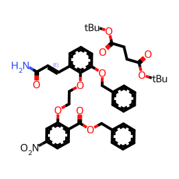 CC(C)(C)OC(=O)CCC(=O)OC(C)(C)C.NC(=O)/C=C/c1cccc(OCc2ccccc2)c1OCCOc1cc([N+](=O)[O-])ccc1C(=O)OCc1ccccc1